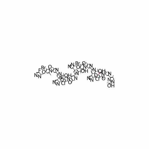 Cc1cnc(-c2nc(C(C)(C)O)ncc2C)cc1-n1c(C)cc(OCc2ncncc2-c2cc(-c3cc(-n4c(C)cc(OCc5ncncc5-c5cc(-c6cc(-n7c(C)cc(OCc8ncncc8-c8cc(-c9cc(-n%10c(C)cc(OCc%11ncncc%11F)c(Br)c%10=O)c(C)cn9)nc(C(C)(C)O)n8)c(Cl)c7=O)c(C)cn6)nc(C(C)(C)O)c5)c(Br)c4=O)c(C)cn3)nc(C(C)(C)O)c2)c(Cl)c1=O